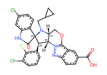 O=C(O)c1ccc2nn3c(c2c1)OC[C@@H]1[C@H]3[C@@H](c2cccc(Cl)c2F)[C@@]2(C(=O)Nc3cc(Cl)ccc32)N1CC1CC1